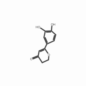 O=C1C=C(c2ccc(O)c(O)c2)OCC1